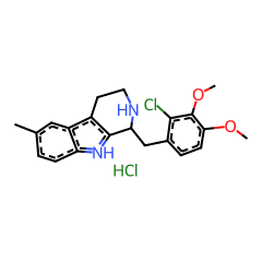 COc1ccc(CC2NCCc3c2[nH]c2ccc(C)cc32)c(Cl)c1OC.Cl